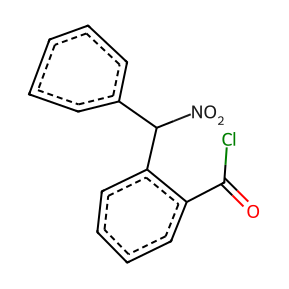 O=C(Cl)c1ccccc1C(c1ccccc1)[N+](=O)[O-]